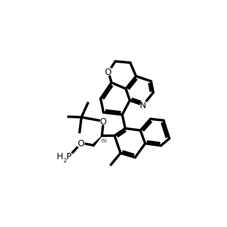 Cc1cc2ccccc2c(-c2ccc3c4c(ccnc24)CCO3)c1[C@@H](COP)OC(C)(C)C